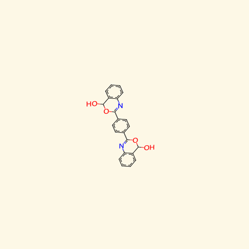 OC1OC(c2ccc(C3=Nc4ccccc4C(O)O3)cc2)=Nc2ccccc21